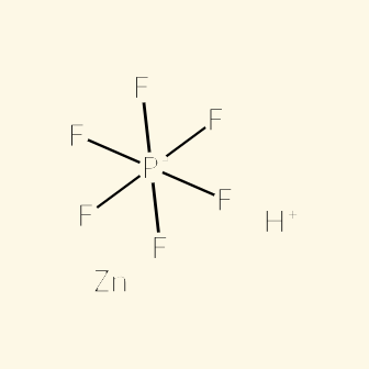 F[P-](F)(F)(F)(F)F.[H+].[Zn]